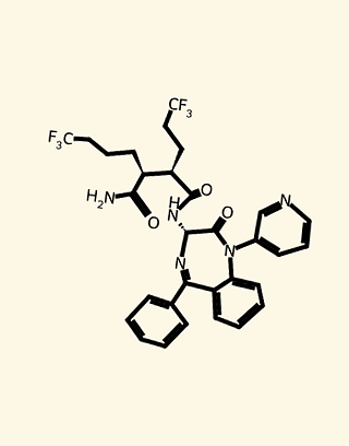 NC(=O)[C@@H](CCCC(F)(F)F)[C@@H](CCC(F)(F)F)C(=O)N[C@H]1N=C(c2ccccc2)c2ccccc2N(c2cccnc2)C1=O